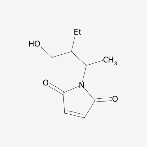 CCC(CO)C(C)N1C(=O)C=CC1=O